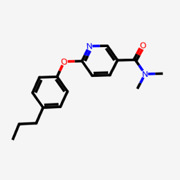 CCCc1ccc(Oc2ccc(C(=O)N(C)C)cn2)cc1